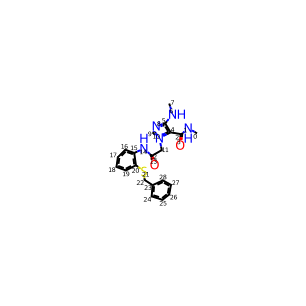 CNC(=O)c1c(NC)ncn1CC(=O)Nc1ccccc1SCc1ccccc1